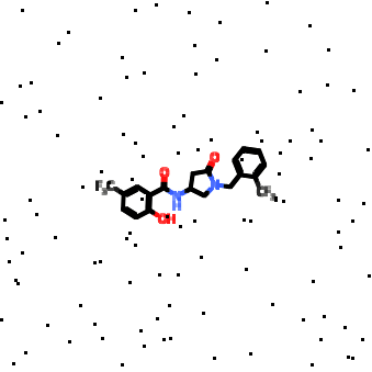 O=C(NC1CC(=O)N(Cc2ccccc2C(F)(F)F)C1)c1cc(C(F)(F)F)ccc1O